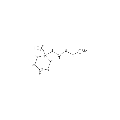 COCCOCC1(C(=O)O)CCNCC1